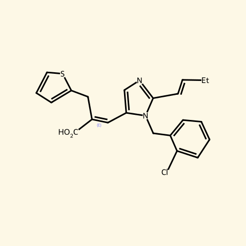 CCC=Cc1ncc(/C=C(\Cc2cccs2)C(=O)O)n1Cc1ccccc1Cl